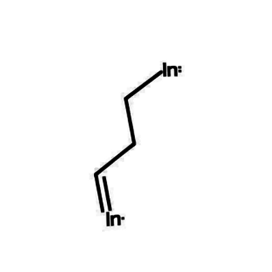 [In][CH2]C[CH]=[In]